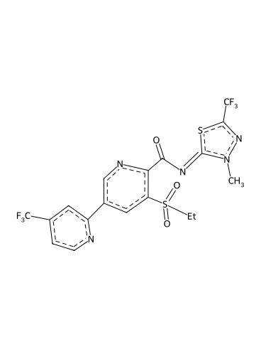 CCS(=O)(=O)c1cc(-c2cc(C(F)(F)F)ccn2)cnc1C(=O)/N=c1\sc(C(F)(F)F)nn1C